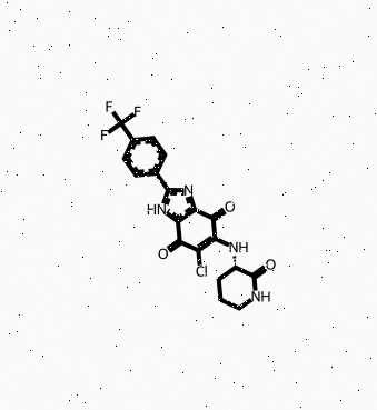 O=C1C(N[C@H]2CCCNC2=O)=C(Cl)C(=O)c2[nH]c(-c3ccc(C(F)(F)F)cc3)nc21